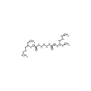 CCCCC(CC)COC(=O)CCCCCC(=O)OCC(CC)CCCC